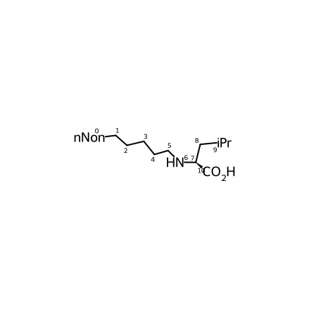 CCCCCCCCCCCCCCN[C@@H](CC(C)C)C(=O)O